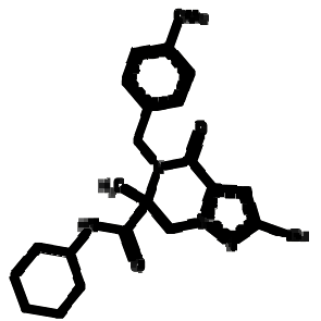 COc1ccc(CN2C(=O)c3cc(C(C)(C)C)nn3CC2(C)C(=O)NC2CCCCC2)cc1